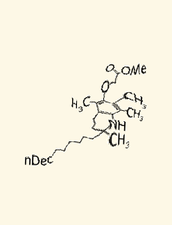 CCCCCCCCCCCCCCCCC1(C)CCc2c(C)c(OCC(=O)OC)c(C)c(C)c2N1